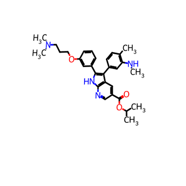 CNc1cc(-c2c(-c3cccc(OCCCN(C)C)c3)[nH]c3ncc(C(=O)OC(C)C)cc23)ccc1C